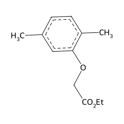 CCOC(=O)COc1cc(C)ccc1C